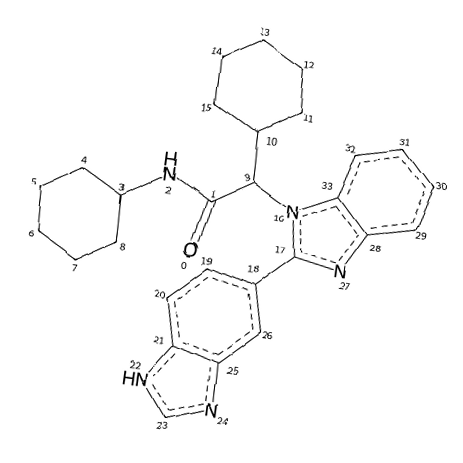 O=C(NC1CCCCC1)C(C1CCCCC1)n1c(-c2ccc3[nH]cnc3c2)nc2ccccc21